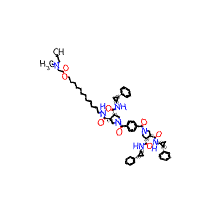 C#CCN(C)CC(=O)OCCCCCCCCCCCCNC(=O)[C@@H]1CN(C(=O)c2ccc(C(=O)N3C[C@@H](C(=O)N[C@H]4C[C@@H]4c4ccccc4)[C@H](C(=O)N[C@H]4C[C@@H]4c4ccccc4)C3)cc2)C[C@H]1C(=O)N[C@H]1C[C@@H]1c1ccccc1